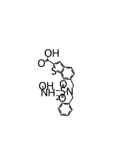 CS(=O)(=O)N(Cc1ccccc1)Cc1ccc2cc(C(=O)O)sc2c1.NO